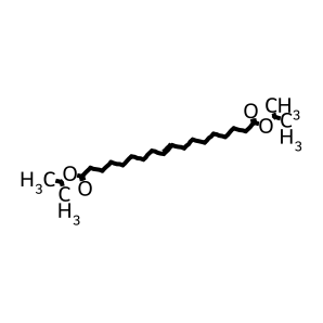 CC(C)OC(=O)CCCCCCCC=CCCCCCCCC(=O)OC(C)C